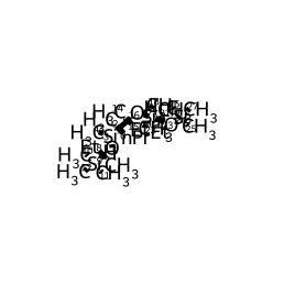 CCCC(C)([SiH](C)OC(C)(CC)[Si](C)(C)C)C(C)(CC)O[Si](C)(C)[C@](C)(CC)O[Si](C)(C)C